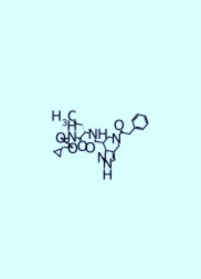 CCC[C@H](NC(=O)C1CN(C(=O)Cc2ccccc2)Cc2c[nH]nc21)C(=O)NS(=O)(=O)C1CC1